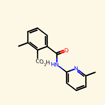 Cc1cccc(NC(=O)c2cccc(C)c2C(=O)O)n1